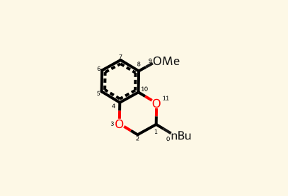 CCCCC1COc2cccc(OC)c2O1